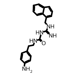 N=C(NCc1cccc2ccccc12)NC(=O)NCCc1ccc(N)cc1